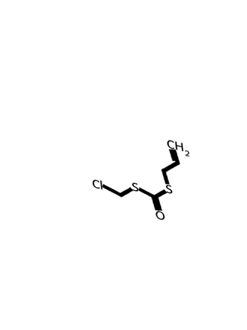 C=CCSC(=O)SCCl